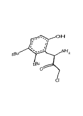 CC(C)(C)c1ccc(O)c(C(N)C(=O)CCl)c1C(C)(C)C